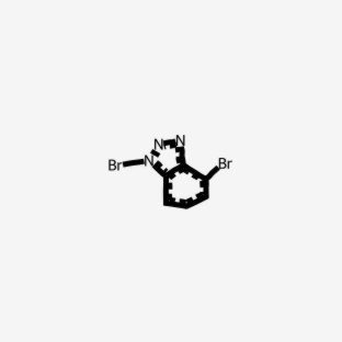 Brc1cccc2c1nnn2Br